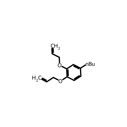 [CH2]CCCc1ccc(OCC=C)c(OCC=C)c1